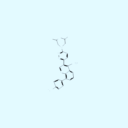 COc1c(-c2ccc(N3CC(C)OC(C)C3)nn2)cnc2c(-c3ccc(C#N)cc3)cccc12